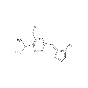 CCOc1cc(/N=c2\sccn2C)ccc1C(C)C(=O)O